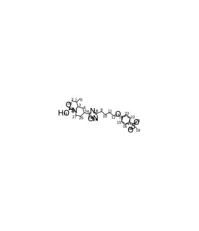 CC(C)C1CC(c2nc(CCCCOc3ccc(S(C)(=O)=O)cc3)no2)CCN1C(=O)O